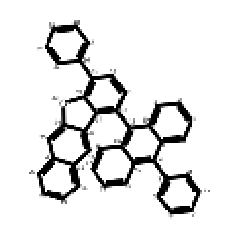 c1ccc(-c2c3ccccc3c(-c3ccc(-c4ccccc4)c4oc5cc6ccccc6cc5c34)c3ccccc23)cc1